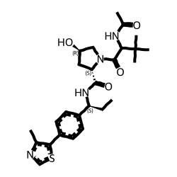 CC[C@H](NC(=O)[C@@H]1C[C@@H](O)CN1C(=O)C(NC(C)=O)C(C)(C)C)c1ccc(-c2scnc2C)cc1